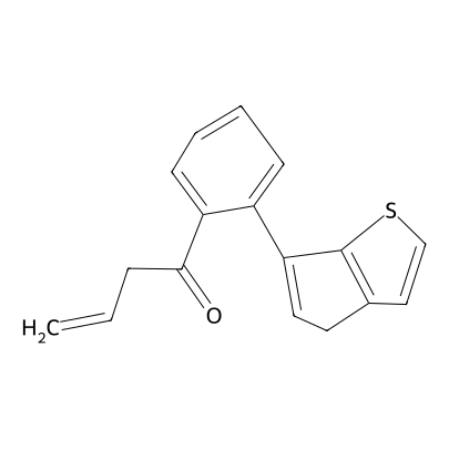 C=CCC(=O)c1ccccc1C1=CCc2ccsc21